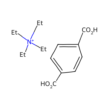 CC[N+](CC)(CC)CC.O=C(O)c1ccc(C(=O)O)cc1